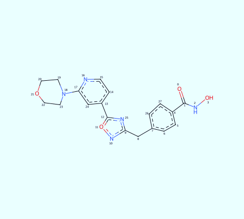 O=C(NO)c1ccc(Cc2noc(-c3ccnc(N4CCOCC4)c3)n2)cc1